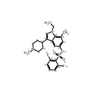 CCn1cc(C2CCN(C)CC2)c2cc(OS(=O)(=O)c3c(F)cccc3F)cc(C)c21